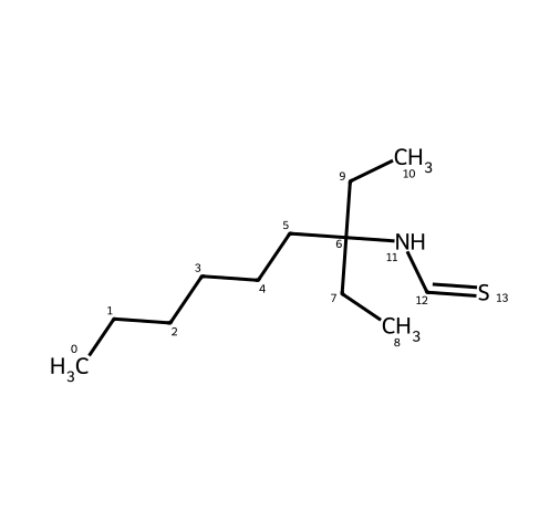 CCCCCCC(CC)(CC)NC=S